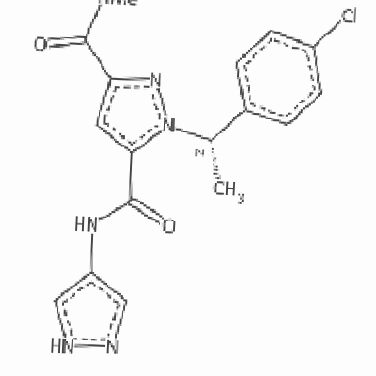 CNC(=O)c1cc(C(=O)Nc2cn[nH]c2)n([C@@H](C)c2ccc(Cl)cc2)n1